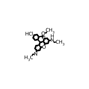 CCN=c1ccc2c(-c3ccccc3C(=O)OCC)c3ccc(NCC)cc3oc-2c1.Cl